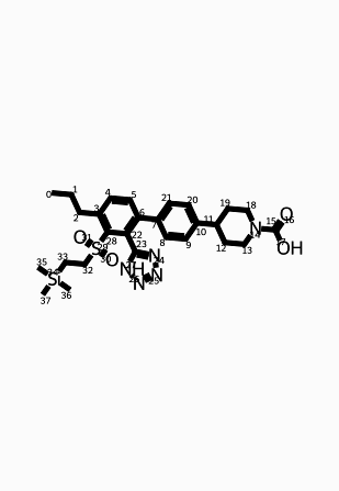 CCCc1ccc(-c2ccc(C3CCN(C(=O)O)CC3)cc2)c(-c2nnn[nH]2)c1S(=O)(=O)CC[Si](C)(C)C